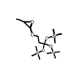 CC1OC1OCCC(O[Si](C)(C)C)(O[Si](C)(C)C)O[Si](C)(C)C